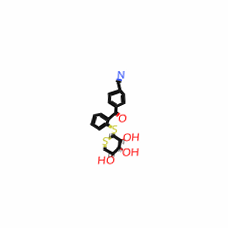 N#Cc1ccc(C(=O)c2ccccc2S[C@@H]2SC[C@@H](O)[C@H](O)[C@H]2O)cc1